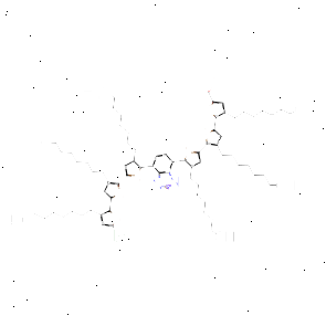 CCCCCCCCc1cc(Br)sc1-c1cc(CCCCCCCC)c(-c2cc(CCCCCCCC)c(-c3ccc(-c4sc(-c5sc(-c6sc(C=O)cc6CCCCCCCC)cc5CCCCCCCC)cc4CCCCCCCC)c4nsnc34)s2)s1